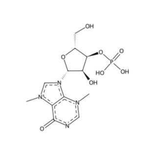 Cn1cnc(=O)c2c1n([C@@H]1O[C@H](CO)[C@@H](OP(=O)(O)O)[C@H]1O)c[n+]2C